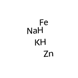 [Fe].[KH].[NaH].[Zn]